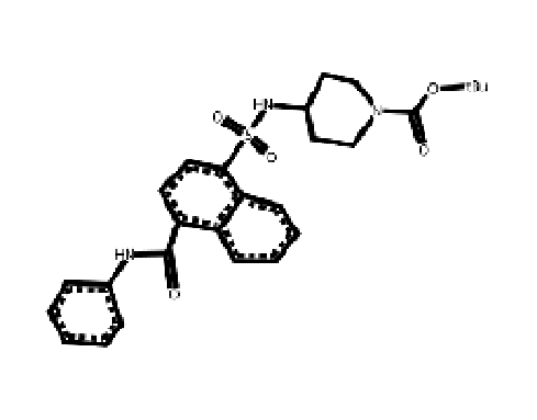 CC(C)(C)OC(=O)N1CCC(NS(=O)(=O)c2ccc(C(=O)Nc3ccccc3)c3ccccc23)CC1